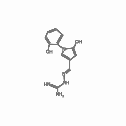 N=C(N)NN=Cc1cc(O)n(-c2ccccc2O)c1